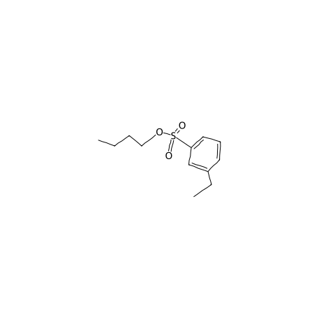 CCCCOS(=O)(=O)c1cccc(CC)c1